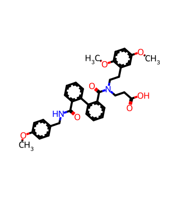 COc1ccc(CNC(=O)c2ccccc2-c2ccccc2C(=O)N(CCC(=O)O)CCc2cc(OC)ccc2OC)cc1